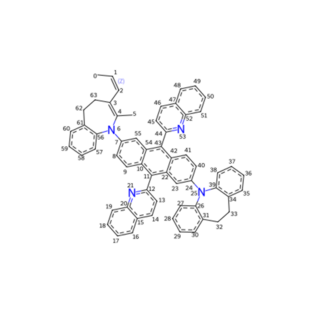 C/C=C\C1=C(C)N(c2ccc3c(-c4ccc5ccccc5n4)c4cc(N5c6ccccc6CCc6ccccc65)ccc4c(-c4ccc5ccccc5n4)c3c2)c2ccccc2CC1